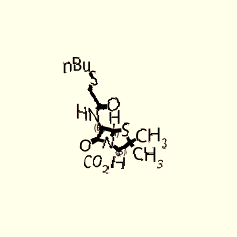 CCCCSCC(=O)N[C@@H]1C(=O)N2[C@@H]1SC(C)(C)[C@@H]2C(=O)O